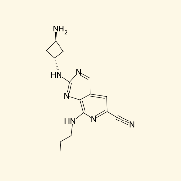 CCCNc1nc(C#N)cc2cnc(N[C@H]3C[C@H](N)C3)nc12